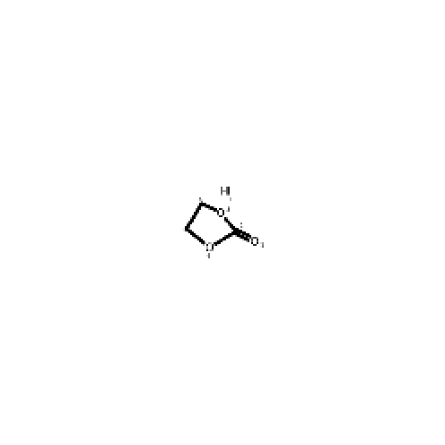 I.O=C1OCCO1